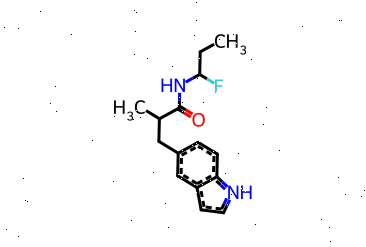 CCC(F)NC(=O)C(C)Cc1ccc2[nH]ccc2c1